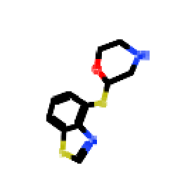 c1cc(SC2CNCCO2)c2ncsc2c1